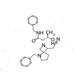 C[C@@H](O)[C@@H](C(=O)NCc1ccccc1)N1CC2(CCCN2Cc2ccccc2)C1CC#N